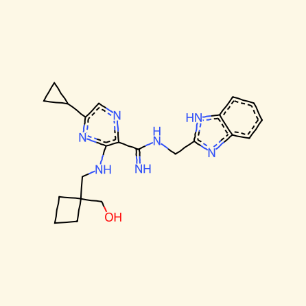 N=C(NCc1nc2ccccc2[nH]1)c1ncc(C2CC2)nc1NCC1(CO)CCC1